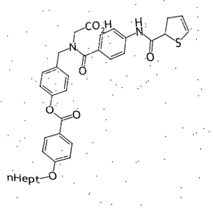 CCCCCCCOc1ccc(C(=O)Oc2ccc(CN(CC(=O)O)C(=O)c3ccc(NC(=O)C4CC=CS4)cc3)cc2)cc1